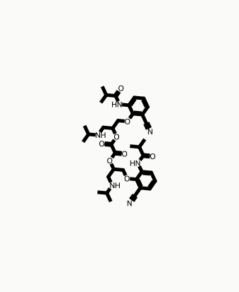 CC(C)NCC(COc1c(C#N)cccc1NC(=O)C(C)C)OC(=O)C(=O)OC(CNC(C)C)COc1c(C#N)cccc1NC(=O)C(C)C